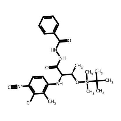 [C-]#[N+]c1ccc(N[C@@H](C(=O)NNC(=O)c2ccccc2)[C@@H](C)O[Si](C)(C)C(C)(C)C)c(C)c1Cl